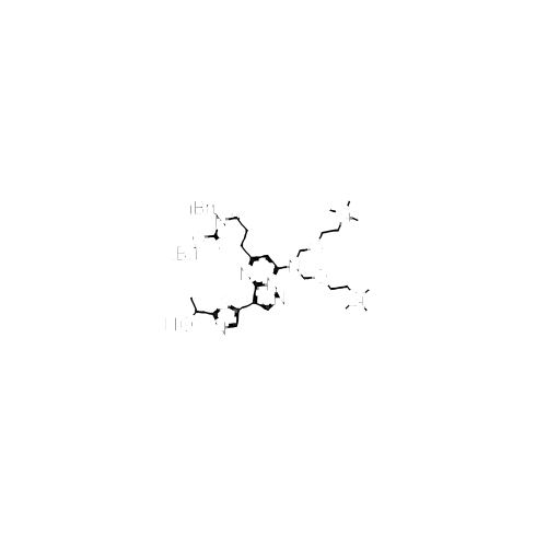 CC[C@H](C)N(C(=O)OC(C)(C)C)[C@H](C)CCc1cc(N(COCC[Si](C)(C)C)COCC[Si](C)(C)C)n2ncc(-c3cnc(C(C)O)s3)c2n1